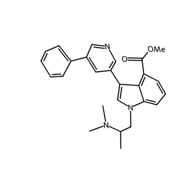 COC(=O)c1cccc2c1c(-c1cncc(-c3ccccc3)c1)cn2CC(C)N(C)C